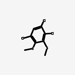 CSc1c(Cl)cc(Cl)c(Cl)c1SC